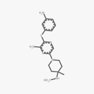 CC1(NC(=O)O)CCN(c2cnc(Sc3cccc(N)c3)c(N)n2)CC1